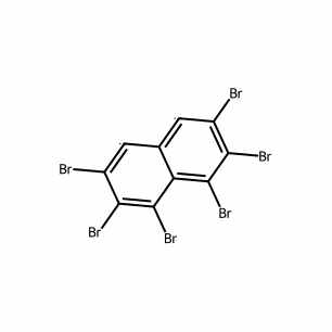 Brc1[c]c2[c]c(Br)c(Br)c(Br)c2c(Br)c1Br